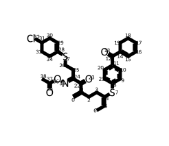 C=C(CC/C(=C\C)Sc1ccc(C(=O)C2=CC=CCC2)cc1)C(=O)/C(CCSC1=CCC(Cl)CC1)=N/OC(C)=O